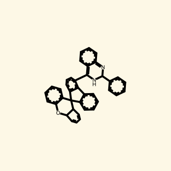 C1=CC2Oc3ccccc3C3(c4ccccc4-c4c(C5=c6ccccc6=NC(c6ccccc6)N5)cccc43)C2C=C1